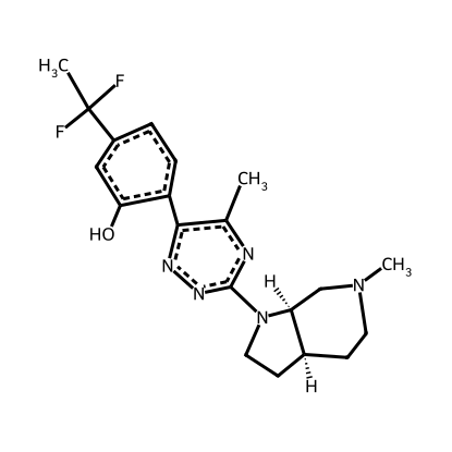 Cc1nc(N2CC[C@@H]3CCN(C)C[C@@H]32)nnc1-c1ccc(C(C)(F)F)cc1O